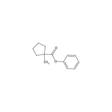 CC1(C(=O)Oc2ccccc2)CCCC1